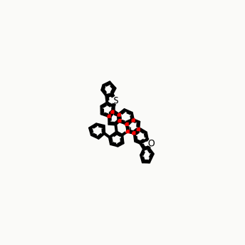 c1ccc(-c2ccccc2-c2c(-c3ccccc3)cccc2N(c2cccc(-c3cccc4c3sc3ccccc34)c2)c2ccc3oc4ccccc4c3c2)cc1